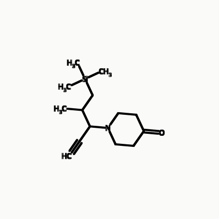 C#CC(C(C)C[Si](C)(C)C)N1CCC(=O)CC1